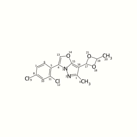 Cc1nn2c(-c3ccc(Cl)cc3Cl)coc2c1C1OC(C)O1